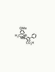 COc1ccc(S(=O)(=O)Nc2cc(-c3ccccc3)sc2C(=O)O)c(C)c1